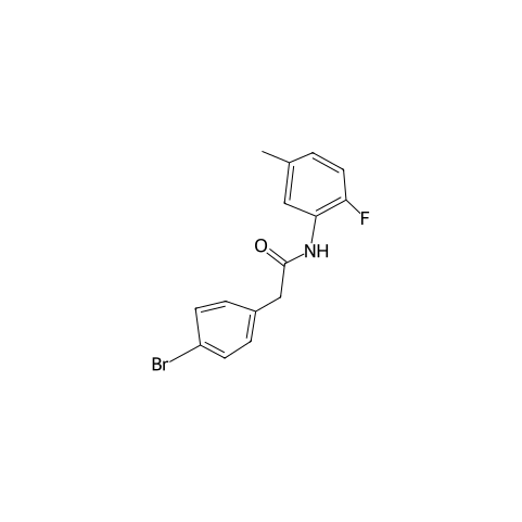 Cc1ccc(F)c(NC(=O)Cc2ccc(Br)cc2)c1